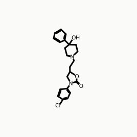 O=C1OC(CCN2CCC(O)(c3ccccc3)CC2)CN1c1ccc(Cl)cc1